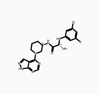 CCC[C@@H](Nc1cc(F)cc(Cl)c1)C(=O)N[C@@H]1CCCN(c2ncnc3[nH]ncc23)C1